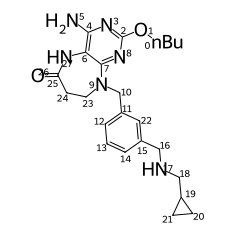 CCCCOc1nc(N)c2c(n1)N(Cc1cccc(CNCC3CC3)c1)CCC(=O)N2